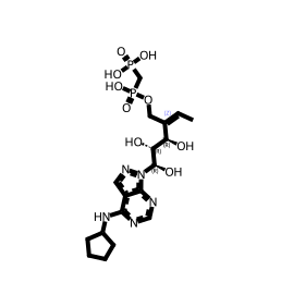 C/C=C(/COP(=O)(O)CP(=O)(O)O)[C@@H](O)[C@@H](O)[C@@H](O)n1ncc2c(NC3CCCC3)ncnc21